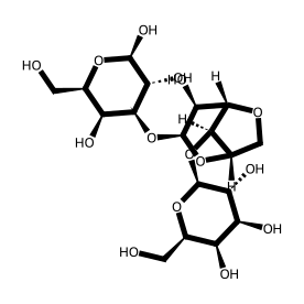 OC[C@H]1O[C@@H](O[C@H]2[C@H]3OC[C@@H]2O[C@@H](O[C@@H]2[C@@H](O)[C@H](O)O[C@H](CO)[C@@H]2O)[C@H]3O)[C@H](O)[C@@H](O)[C@H]1O